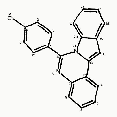 Clc1ccc(-c2nc3ccccc3c3cc4ccccc4n23)cc1